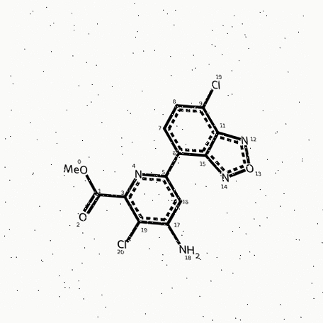 COC(=O)c1nc(-c2ccc(Cl)c3nonc23)cc(N)c1Cl